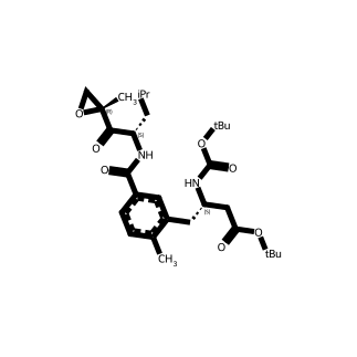 Cc1ccc(C(=O)N[C@@H](CC(C)C)C(=O)[C@@]2(C)CO2)cc1C[C@@H](CC(=O)OC(C)(C)C)NC(=O)OC(C)(C)C